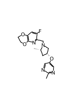 Cc1ncc(O[C@@H]2C[C@H](C)N(Cc3nc4c(cc3F)OCCO4)C2)cn1